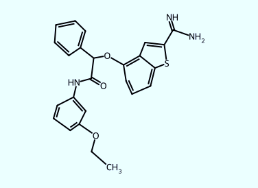 CCOc1cccc(NC(=O)C(Oc2cccc3sc(C(=N)N)cc23)c2ccccc2)c1